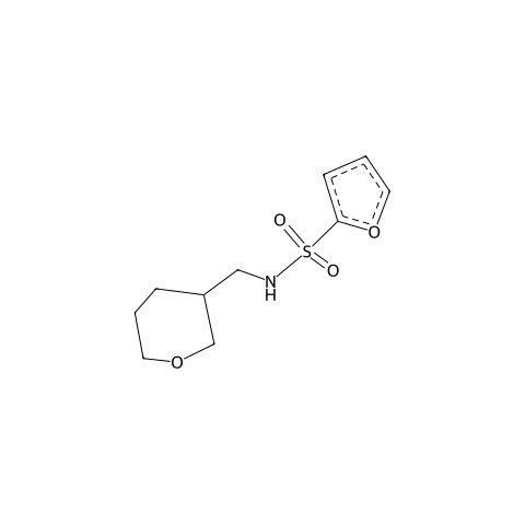 O=S(=O)(NCC1CCCOC1)c1ccco1